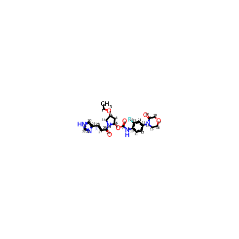 CCO[C@@H]1C[C@@H](OC(=O)Nc2ccc(N3CCOCC3=O)cc2F)N(C(=O)/C=C/c2c[nH]cn2)C1